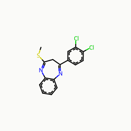 CSC1=Nc2ccccc2N=C(c2ccc(Cl)c(Cl)c2)C1